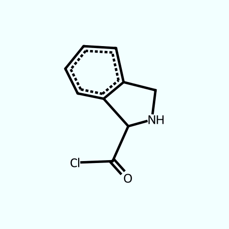 O=C(Cl)C1NCc2ccccc21